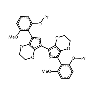 COc1cccc(OC(C)C)c1-c1sc(-c2sc(-c3c(OC)cccc3OC(C)C)c3c2OCCO3)c2c1OCCO2